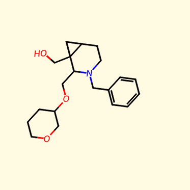 OCC12CC1CCN(Cc1ccccc1)C2COC1CCCOC1